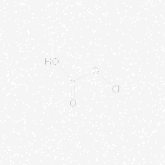 O=C(O)OCl